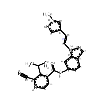 CC(C)c1c(C(=O)Nc2ccc3cnn(/C=C/c4cnn(C)c4)c3c2)ccnc1C#N